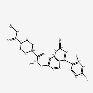 C[C@@H](Oc1ccc2c(-c3ccc(F)cc3Cl)cc(=O)oc2c1)C(=O)N1CCN(C(=O)CCl)CC1